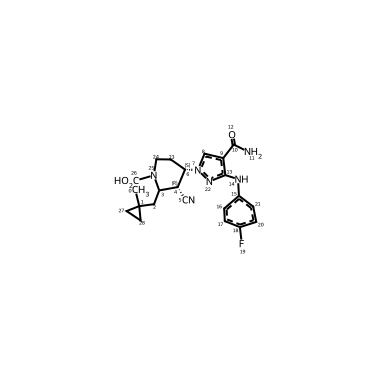 CC1(CC2[C@@H](C#N)[C@@H](n3cc(C(N)=O)c(Nc4ccc(F)cc4)n3)CCN2C(=O)O)CC1